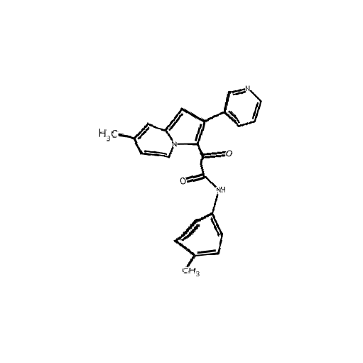 Cc1ccc(NC(=O)C(=O)c2c(-c3cccnc3)cc3cc(C)ccn23)cc1